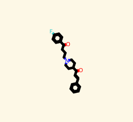 O=C(CCCN1CCC(C(=O)C=Cc2ccccc2)CC1)c1ccc(F)cc1